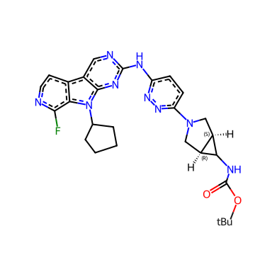 CC(C)(C)OC(=O)NC1[C@H]2CN(c3ccc(Nc4ncc5c6ccnc(F)c6n(C6CCCC6)c5n4)nn3)C[C@@H]12